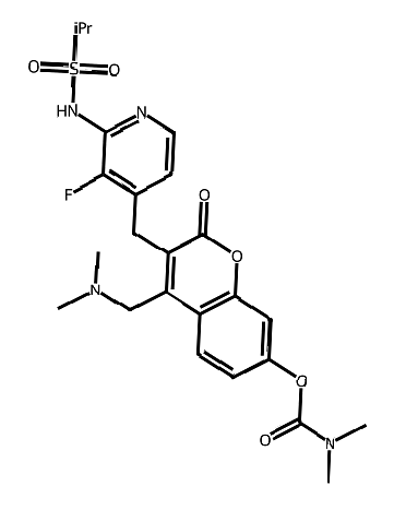 CC(C)S(=O)(=O)Nc1nccc(Cc2c(CN(C)C)c3ccc(OC(=O)N(C)C)cc3oc2=O)c1F